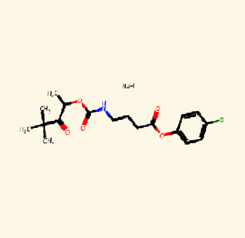 CC(OC(=O)NCCCC(=O)Oc1ccc(Cl)cc1)C(=O)C(C)(C)C.[NaH]